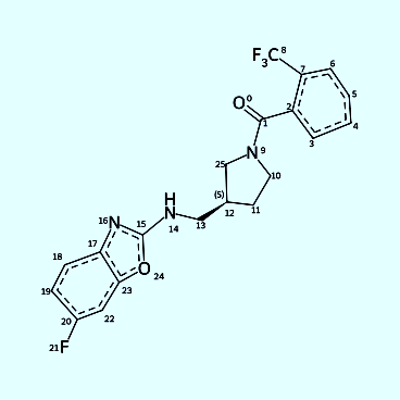 O=C(c1ccccc1C(F)(F)F)N1CC[C@@H](CNc2nc3ccc(F)cc3o2)C1